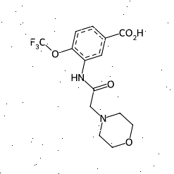 O=C(CN1CCOCC1)Nc1cc(C(=O)O)ccc1OC(F)(F)F